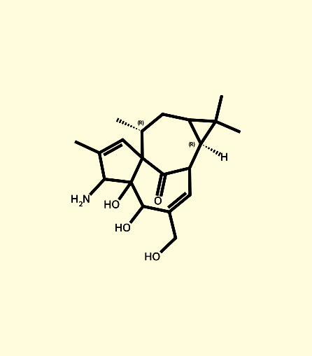 CC1=CC23C(=O)C(C=C(CO)C(O)C2(O)C1N)[C@H]1C(C[C@H]3C)C1(C)C